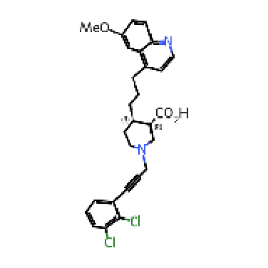 COc1ccc2nccc(CCC[C@@H]3CCN(CC#Cc4cccc(Cl)c4Cl)C[C@@H]3C(=O)O)c2c1